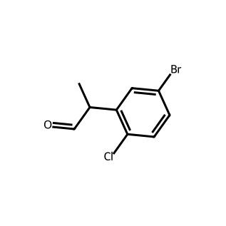 CC(C=O)c1cc(Br)ccc1Cl